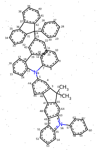 CC1(C)c2cc(N(c3ccccc3)c3ccccc3-c3cccc(C4(c5ccccc5)c5ccccc5-c5ccccc54)c3)ccc2-c2cc3c4ccccc4n(-c4ccccc4)c3cc21